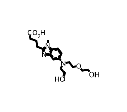 Cn1c(CCCC(=O)O)nc2cc(N(CCO)CCOCCO)ccc21